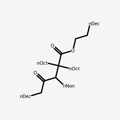 CCCCCCCCCCCCOC(=O)C(CCCCCCCC)(CCCCCCCC)C(CCCCCCCCC)C(=O)CCCCCCCCCCC